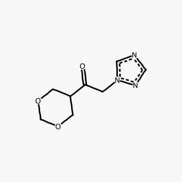 O=C(Cn1cncn1)C1COCOC1